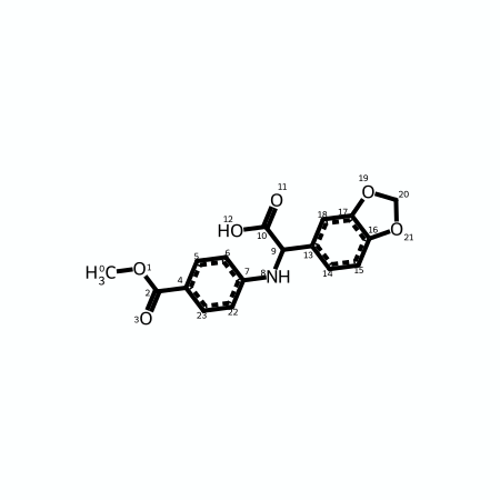 COC(=O)c1ccc(NC(C(=O)O)c2ccc3c(c2)OCO3)cc1